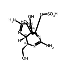 NC1=N[C@H]2[C@H](CO)N=C(N)N3CC(OS(=O)(=O)O)C(O)(O)[C@]23N1